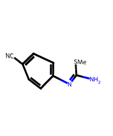 CS/C(N)=N\c1ccc(C#N)cc1